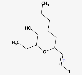 CCCCCC(/C=C/I)OC(CC)CO